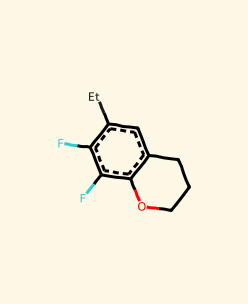 CCc1cc2c(c(F)c1F)OCCC2